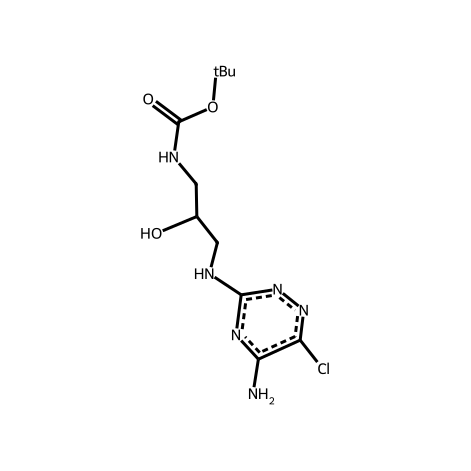 CC(C)(C)OC(=O)NCC(O)CNc1nnc(Cl)c(N)n1